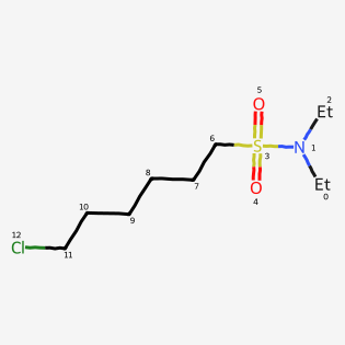 CCN(CC)S(=O)(=O)CCCCCCCl